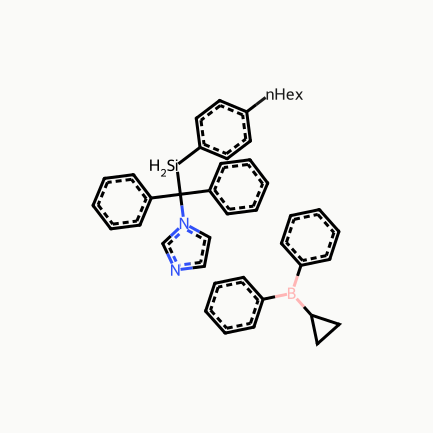 CCCCCCc1ccc([SiH2]C(c2ccccc2)(c2ccccc2)n2ccnc2)cc1.c1ccc(B(c2ccccc2)C2CC2)cc1